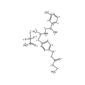 CCOC(=O)COc1ccc(CC(C)NCC(O)c2cccc(Cl)c2)cc1.O=C(O)C(F)(F)F